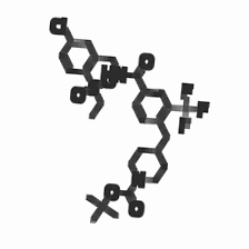 CCS(=O)(=O)c1ccc(Cl)cc1CNC(=O)c1ccc(CC2CCN(C(=O)OC(C)(C)C)CC2)c(C(F)(F)F)c1